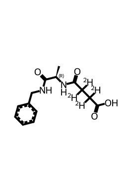 [2H]C([2H])(C(=O)O)C([2H])([2H])C(=O)N[C@H](C)C(=O)NCc1ccccc1